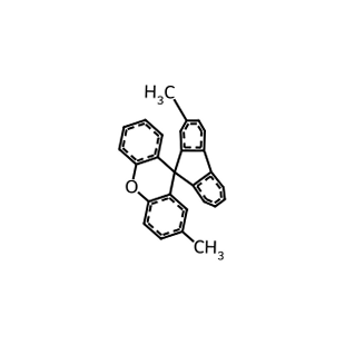 Cc1ccc2c(c1)C1(c3ccccc3O2)c2ccccc2-c2ccc(C)cc21